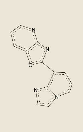 [c]1cn2cccc(-c3nc4ncccc4o3)c2n1